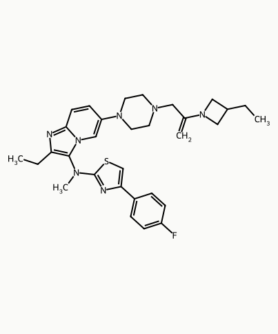 C=C(CN1CCN(c2ccc3nc(CC)c(N(C)c4nc(-c5ccc(F)cc5)cs4)n3c2)CC1)N1CC(CC)C1